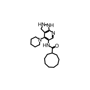 O=C(Nc1cnc2c(c1N1CCCCC1)CNN2)C1CCCCCCCC1